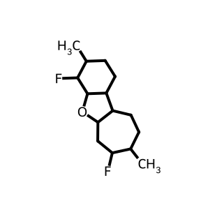 CC1CCC2C(CC1F)OC1C(F)C(C)CCC21